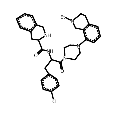 CCN1CCc2cccc(N3CCN(C(=O)C(Cc4ccc(Cl)cc4)NC(=O)C4Cc5ccccc5CN4)CC3)c2C1